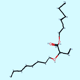 CCCCCCCCOC(CC)C(=O)OCCCCCC